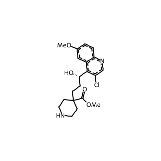 COC(=O)C1(CC[C@H](O)c2c(Cl)cnc3ccc(OC)cc23)CCNCC1